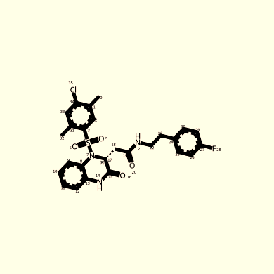 Cc1cc(S(=O)(=O)N2c3ccccc3NC(=O)[C@H]2CC(=O)NCCc2ccc(F)cc2)c(C)cc1Cl